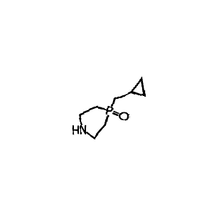 O=P1(CC2CC2)CCNCC1